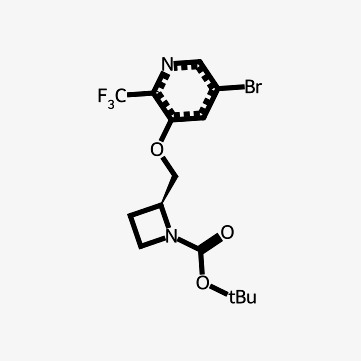 CC(C)(C)OC(=O)N1CC[C@H]1COc1cc(Br)cnc1C(F)(F)F